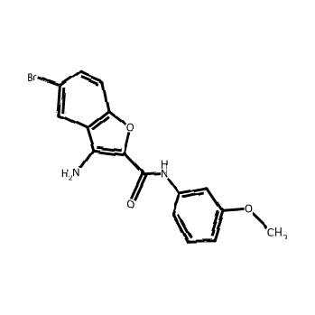 COc1cccc(NC(=O)c2oc3ccc(Br)cc3c2N)c1